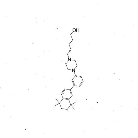 CC1(C)CCC(C)(C)c2cc(-c3cccc(N4CCN(CCCCCO)CC4)c3)ccc21